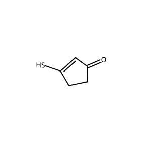 O=C1C=C(S)CC1